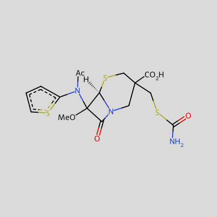 COC1(N(C(C)=O)c2cccs2)C(=O)N2CC(CSC(N)=O)(C(=O)O)CS[C@@H]21